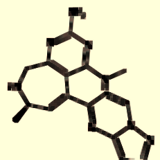 CNc1nc(N)nc2c1C(c1ccn3nccc3n1)=C[C@@H](C)NC2